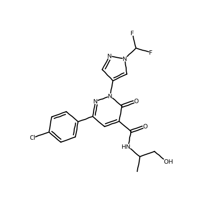 CC(CO)NC(=O)c1cc(-c2ccc(Cl)cc2)nn(-c2cnn(C(F)F)c2)c1=O